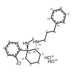 CN[C@]1(c2ccccc2Cl)CCCC[C@H]1NCCCc1ccccc1.Cl.Cl